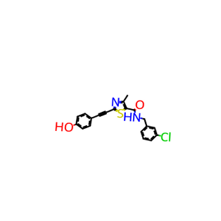 Cc1nc(C#Cc2ccc(O)cc2)sc1C(=O)NCc1cccc(Cl)c1